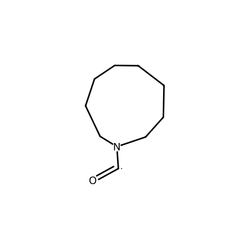 O=[C]N1CCCCCCCC1